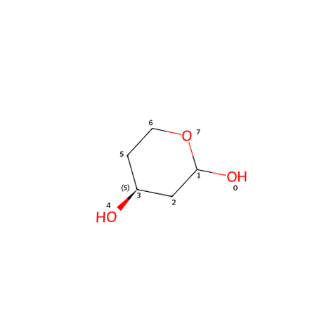 OC1C[C@@H](O)CCO1